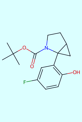 CC(C)(C)OC(=O)N1CCC2CC21c1cc(F)ccc1O